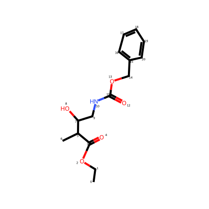 CCOC(=O)C(C)C(O)CNC(=O)OCc1ccccc1